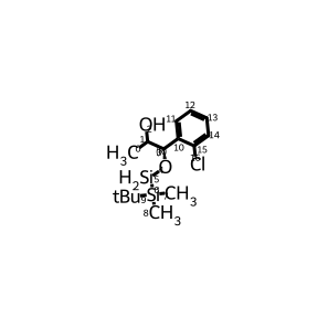 CC(O)[C@H](O[SiH2][Si](C)(C)C(C)(C)C)c1ccccc1Cl